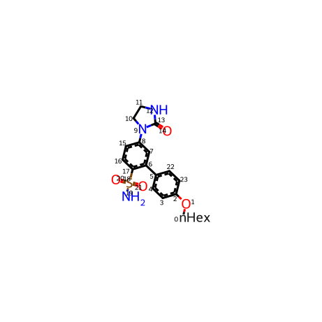 CCCCCCOc1ccc(-c2cc(N3CCNC3=O)ccc2S(N)(=O)=O)cc1